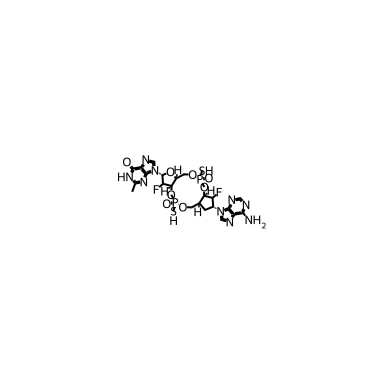 Cc1nc2c(ncn2[C@@H]2O[C@@H]3COP(=O)(S)O[C@@H]4C(F)[C@H](n5cnc6c(N)ncnc65)C[C@@H]4COP(=O)(S)O[C@@H]3C2F)c(=O)[nH]1